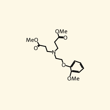 COC(=O)CCN(CCOc1ccccc1OC)CCC(=O)OC